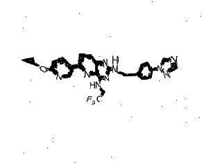 FC(F)(F)CNc1nc(NCc2ccc(-n3cncn3)cc2)nc2ccc(-c3ccc(OC4CC4)nc3)nc12